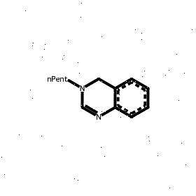 CCCCCN1C=Nc2ccccc2C1